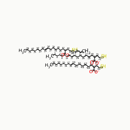 C=C[CH2][Sn+3].CCCCCCCCC=CCCCCCCC(CCS)C(=O)[O-].CCCCCCCCC=CCCCCCCC(CCS)C(=O)[O-].CCCCCCCCC=CCCCCCCC(CCS)C(=O)[O-]